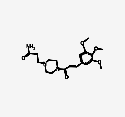 COc1cc(/C=C/C(=O)N2CCN(CCC(N)=O)CC2)cc(OC)c1OC